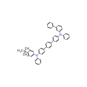 C[Si](C)(C)c1ccc(N(c2ccccc2)c2ccc(-c3ccc(-c4ccc(N(c5ccccc5)c5cccc(-c6ccccc6)c5)cc4)cc3)cc2)cc1